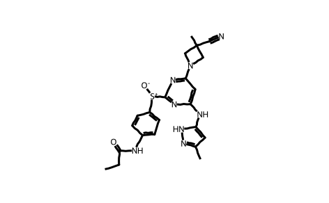 CCC(=O)Nc1ccc([S+]([O-])c2nc(Nc3cc(C)n[nH]3)cc(N3CC(C)(C#N)C3)n2)cc1